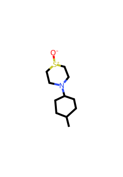 CC1CCC(N2CC[S+]([O-])CC2)CC1